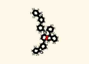 c1cc(-c2ccc3sc4ccccc4c3c2)cc(N(c2ccc(-c3ccc4sc5ccccc5c4c3)cc2)c2ccccc2-c2cccc3ccccc23)c1